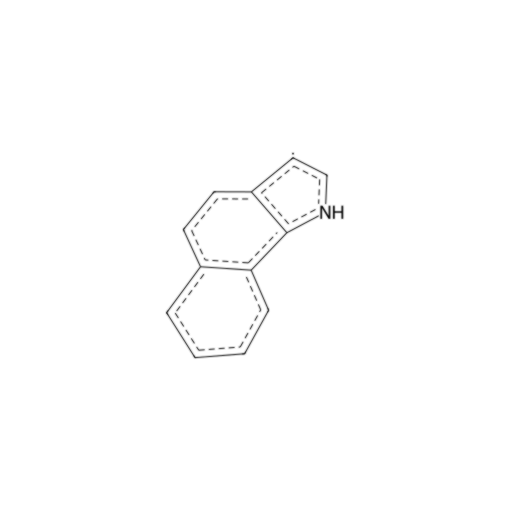 [c]1c[nH]c2c1ccc1ccccc12